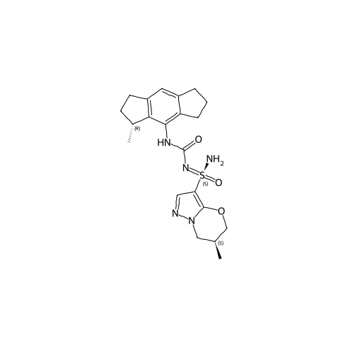 C[C@@H]1COc2c([S@@](N)(=O)=NC(=O)Nc3c4c(cc5c3[C@H](C)CC5)CCC4)cnn2C1